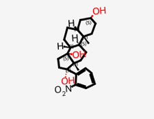 C[C@]12CC[C@H](O)C[C@H]1CC[C@@H]1[C@@H]2CC[C@]2(C)[C@@](O)(c3ccccc3[N+](=O)[O-])CC[C@]12O